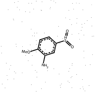 COc1ccc([SH](=O)=O)cc1N